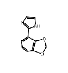 c1cc2c(c(-c3ncc[nH]3)c1)OCO2